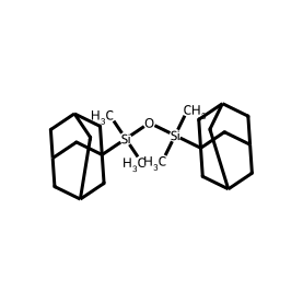 C[Si](C)(O[Si](C)(C)C12CC3CC(CC(C3)C1)C2)C12CC3CC(CC(C3)C1)C2